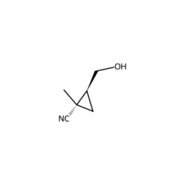 C[C@]1(C#N)C[C@@H]1CO